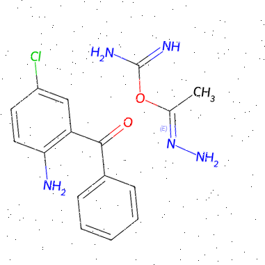 C/C(=N\N)OC(=N)N.Nc1ccc(Cl)cc1C(=O)c1ccccc1